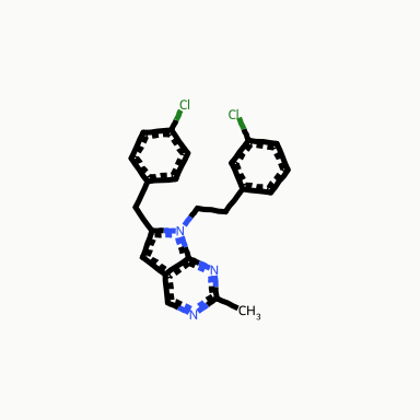 Cc1ncc2cc(Cc3ccc(Cl)cc3)n(CCc3cccc(Cl)c3)c2n1